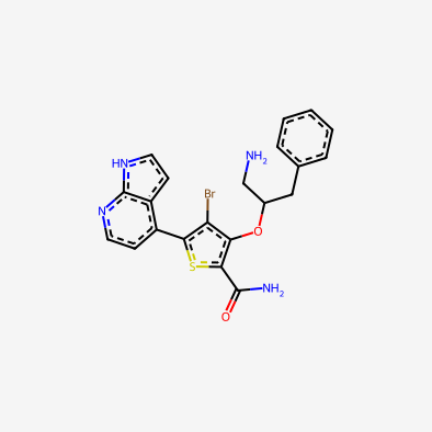 NCC(Cc1ccccc1)Oc1c(C(N)=O)sc(-c2ccnc3[nH]ccc23)c1Br